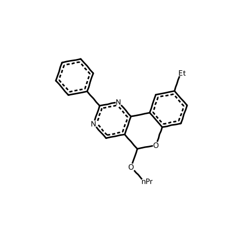 CCCOC1Oc2ccc(CC)cc2-c2nc(-c3ccccc3)ncc21